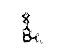 NC(=O)c1[c]ccc2sc(N3CC4(COC4)C3)nc12